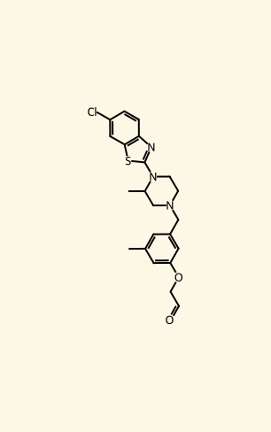 Cc1cc(CN2CCN(c3nc4ccc(Cl)cc4s3)C(C)C2)cc(OCC=O)c1